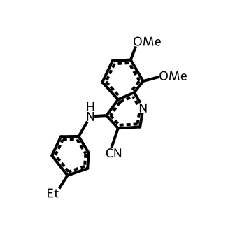 CCc1ccc(Nc2c(C#N)cnc3c(OC)c(OC)ccc23)cc1